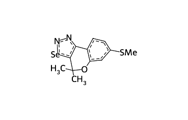 CSc1ccc2c(c1)OC(C)(C)c1[se]nnc1-2